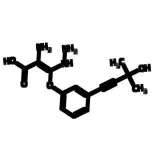 CC(C)(O)C#Cc1cccc(O/C(NN)=C(/N)C(=O)O)c1